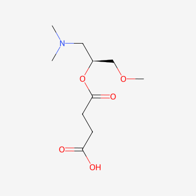 COC[C@H](CN(C)C)OC(=O)CCC(=O)O